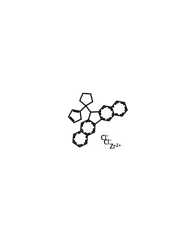 C1=CCC(C2(C3c4cc5ccccc5cc4-c4cc5ccccc5cc43)CCCC2)=C1.[Cl-].[Cl-].[Zr+2]